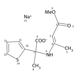 COC(=O)C=C(C)NC(C)(C(=O)[O-])c1cccs1.[Na+]